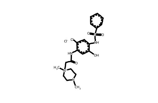 CN1CC[N+](C)(CC(=O)Nc2cc(O)c(NS(=O)(=O)c3ccccc3)cc2Cl)CC1.[Cl-]